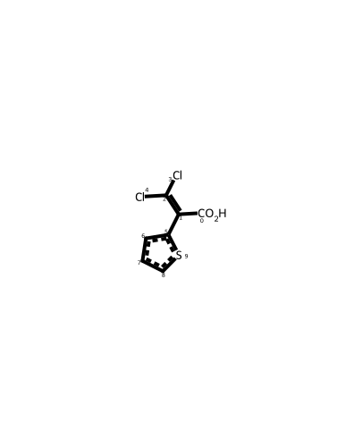 O=C(O)C(=C(Cl)Cl)c1cccs1